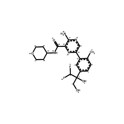 Cc1ccc(C(O)(CO)C(F)F)cc1-c1cnc(N)c(C(=O)NC2CCOCC2)n1